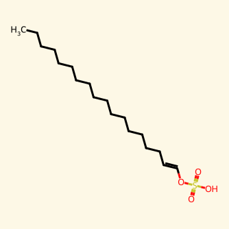 CCCCCCCCCCCCCCCCC=COS(=O)(=O)O